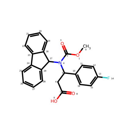 COC(=O)N(C(CC(=O)O)c1ccc(F)cc1)C1c2ccccc2-c2ccccc21